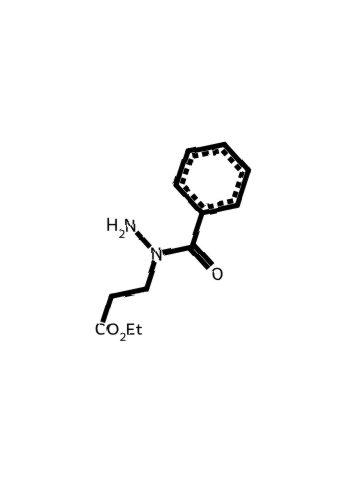 CCOC(=O)CCN(N)C(=O)c1ccccc1